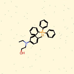 CCN(CCO)c1ccc(C[PH](c2ccccc2)(c2ccccc2)c2ccccc2)cc1